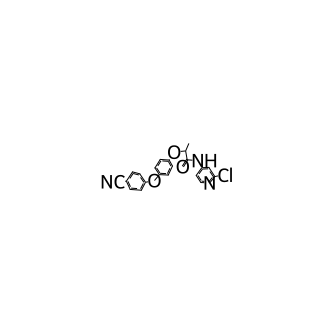 CC(Oc1ccc(Oc2ccc(C#N)cc2)cc1)C(=O)Nc1ccnc(Cl)c1